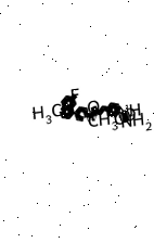 Cc1ccc([C@H]2CC[C@@H]([C@H](C)C(=O)CCc3ccc(NS(N)(=O)=O)cc3)CC2)c2cc(F)ccc12